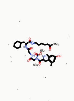 CCCC[C@H](C(=O)NCC(=O)N[C@@H](CC1CCCCC1)C(=O)NCCCCCC(=O)OC)N(C(=O)OC(C)(C)C)C(=O)[C@@H](N)Cc1c(C)cc(O)cc1C